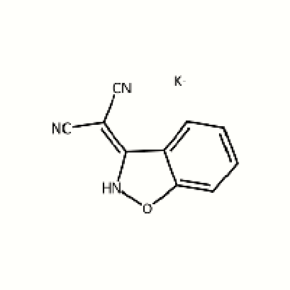 N#CC(C#N)=C1NOc2ccccc21.[K]